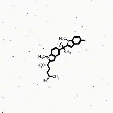 CC(C)C(C)CC[C@@H](C)c1cc2cc(C(C)(C)c3cc4cc(F)ccc4n3C)ccc2n1C